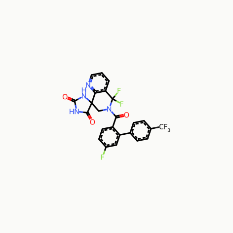 O=C1NC(=O)C2(CN(C(=O)c3ccc(F)cc3-c3ccc(C(F)(F)F)cc3)C(F)(F)c3cccnc32)N1